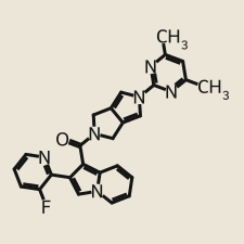 Cc1cc(C)nc(-n2cc3c(c2)CN(C(=O)c2c(-c4ncccc4F)cn4ccccc24)C3)n1